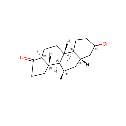 C[C@@H]1C[C@H]2C[C@H](O)CC[C@]2(C)[C@H]2CC[C@]3(C)C(=O)CC[C@H]3[C@H]12